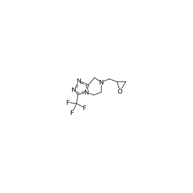 FC(F)(F)c1nnc2n1CCN(CC1CO1)C2